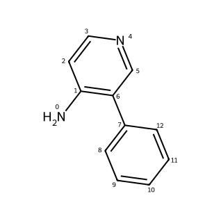 Nc1ccncc1-c1ccccc1